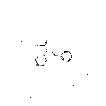 CNC(=O)C(/C=C/c1ccccc1)N1CCNCC1